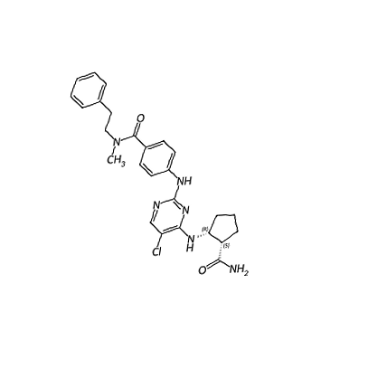 CN(CCc1ccccc1)C(=O)c1ccc(Nc2ncc(Cl)c(N[C@@H]3CCC[C@@H]3C(N)=O)n2)cc1